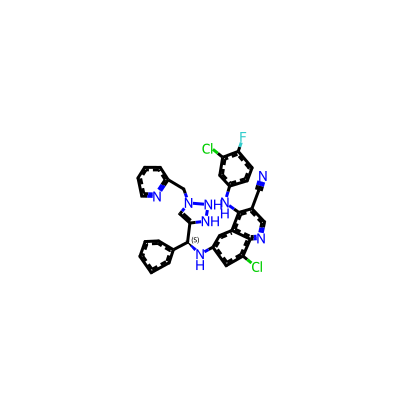 N#Cc1cnc2c(Cl)cc(N[C@H](C3=CN(Cc4ccccn4)NN3)c3ccccc3)cc2c1Nc1ccc(F)c(Cl)c1